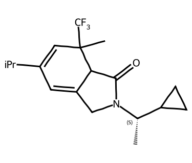 CC(C)C1=CC(C)(C(F)(F)F)C2C(=O)N([C@@H](C)C3CC3)CC2=C1